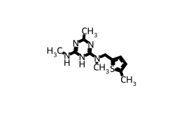 CNC1=NC(C)N=C(N(C)Cc2ccc(C)s2)N1